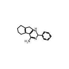 NC1=NC(c2ccccc2)NC2=C1C1=C(CCCC1)C2